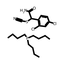 CCCCP(CCCC)CCCC.N#CSC(C(N)=O)c1ccc(Cl)cc1Cl